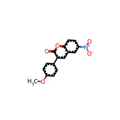 COc1ccc(-c2cc3cc([N+](=O)[O-])ccc3oc2=O)cc1